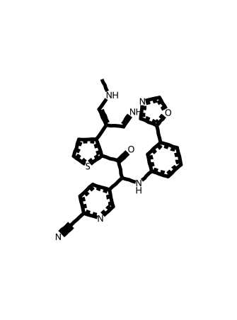 CN/C=C(\C=N)c1ccsc1C(=O)C(Nc1cccc(-c2cnco2)c1)c1ccc(C#N)nc1